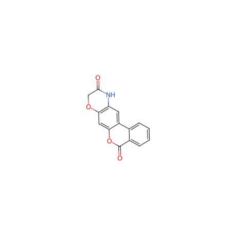 O=C1COc2cc3oc(=O)c4ccccc4c3cc2N1